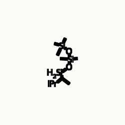 CC(C)C(C)[SiH2]O[Si](C)(C)O[Si](C)(C)C